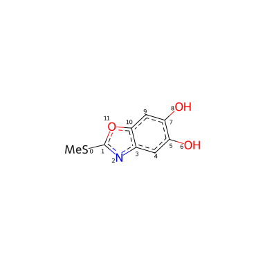 [CH2]Sc1nc2cc(O)c(O)cc2o1